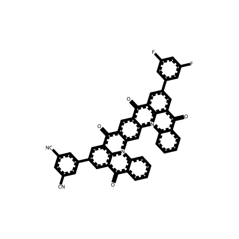 N#Cc1cc(C#N)cc(-c2cc3c(=O)c4ccccc4n4c5cc6c(cc5c(=O)c(c2)c34)c(=O)c2cc(-c3cc(F)cc(F)c3)cc3c(=O)c4ccccc4n6c32)c1